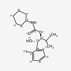 CC(C)[C@H](OC(=O)NC1CCCCC1)[C@@H](O)c1ccccc1I